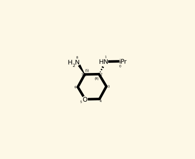 CC(C)N[C@@H]1CCOC[C@H]1N